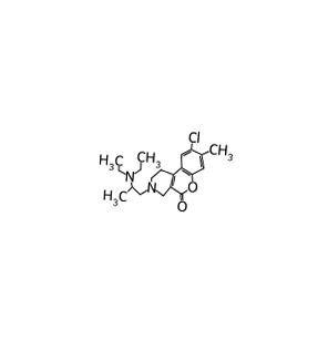 CCN(CC)C(C)CN1CCc2c(c(=O)oc3cc(C)c(Cl)cc23)C1